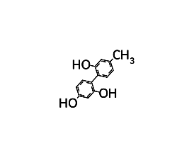 Cc1ccc(-c2ccc(O)cc2O)c(O)c1